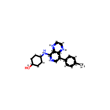 OC1CCC(Nc2ncc(-c3ccc(C(F)(F)F)cc3)c3nccnc23)CC1